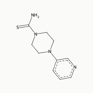 NC(=S)N1CCN(c2cccnc2)CC1